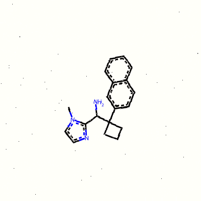 Cn1ccnc1C(N)C1(c2ccc3ccccc3c2)CCC1